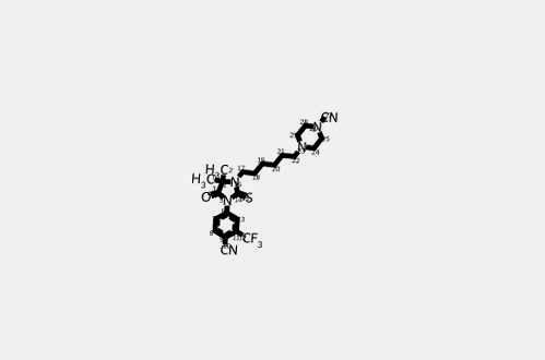 CC1(C)C(=O)N(c2ccc(C#N)c(C(F)(F)F)c2)C(=S)N1CCCCCCN1CCN(C#N)CC1